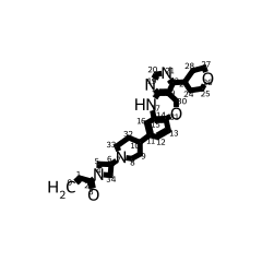 C=CC(=O)N1CC(N2CCC(c3ccc4c(c3)Nc3ncnc(C5CCOCC5)c3CO4)CC2)C1